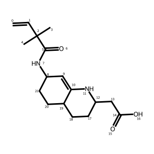 C=CC(C)(C)C(=O)NC1C=C2NC(CC(=O)O)CCC2CC1